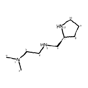 CN(C)CCNC[C@@H]1CCCN1